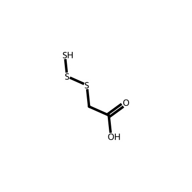 O=C(O)CSSS